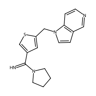 N=C(c1csc(Cn2ccc3cnccc32)c1)N1CCCC1